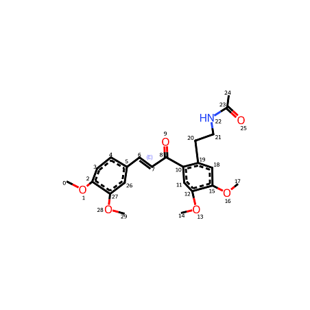 COc1ccc(/C=C/C(=O)c2cc(OC)c(OC)cc2CCNC(C)=O)cc1OC